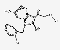 CCCc1c(C(=O)COCC)c2ccc(C(=O)O)cc2n1Cc1ccccc1Cl